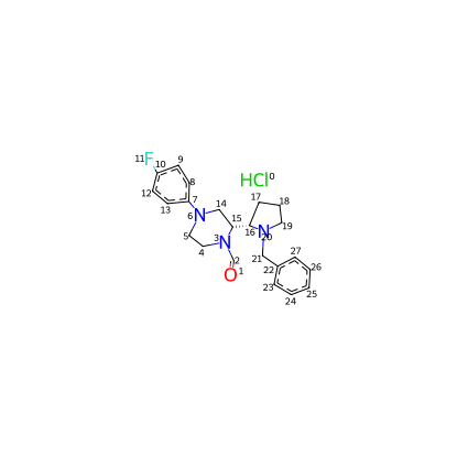 Cl.O=CN1CCN(c2ccc(F)cc2)CC1[C@@H]1CCCN1Cc1ccccc1